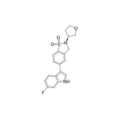 O=S1(=O)c2ccc(-c3c[nH]c4cc(F)ccc34)cc2CN1[C@H]1CCOC1